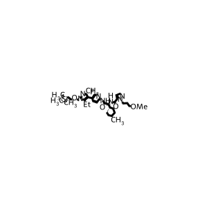 CCc1c(-c2ccc(NC(=O)[C@@H](NC(=O)c3ccnn3CCCOC)[C@H]3CC[C@H](C)CC3)nc2F)c(C)nn1COCC[Si](C)(C)C